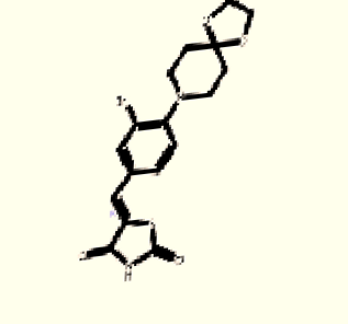 O=C1NC(=O)/C(=C/c2ccc(N3CCC4(CC3)OCCO4)c(Br)c2)S1